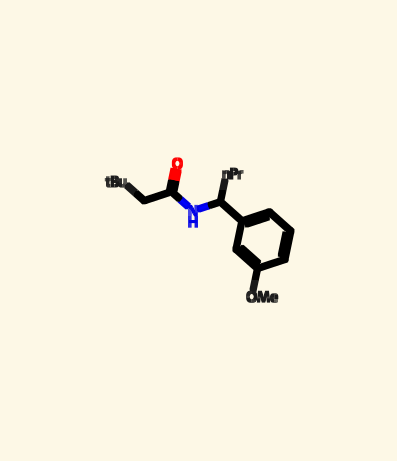 CCCC(NC(=O)CC(C)(C)C)c1cccc(OC)c1